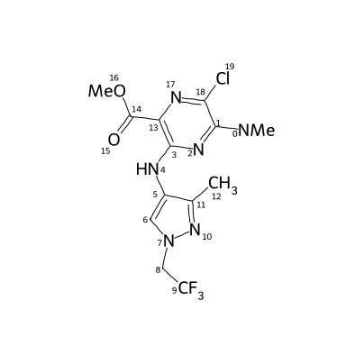 CNc1nc(Nc2cn(CC(F)(F)F)nc2C)c(C(=O)OC)nc1Cl